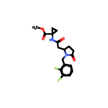 COC(=O)C1(NC(=O)CC2CCC(=O)N2Cc2cccc(F)c2F)CC1